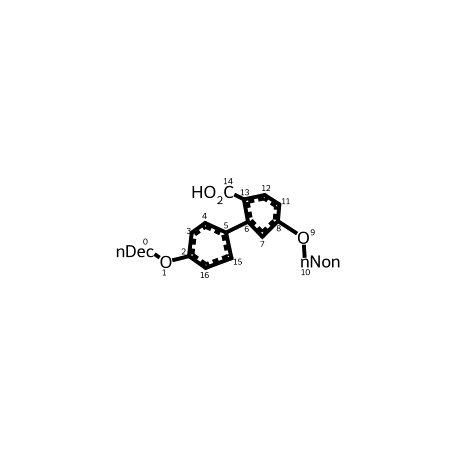 CCCCCCCCCCOc1ccc(-c2cc(OCCCCCCCCC)ccc2C(=O)O)cc1